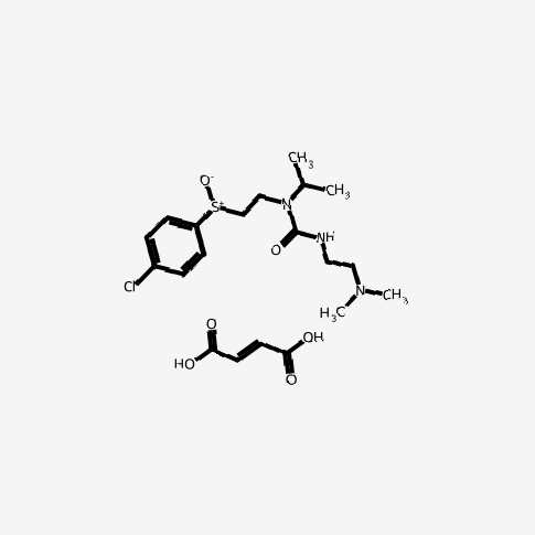 CC(C)N(CC[S+]([O-])c1ccc(Cl)cc1)C(=O)NCCN(C)C.O=C(O)C=CC(=O)O